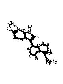 COc1ccc2c(-c3nccc4c(N)nccc34)c[nH]c2n1